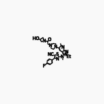 CCn1nc2nc(C)c(N3CCN(CC(=O)N4CC(O)C4)CC3)cc2c1N(C)c1nc(-c2ccc(F)cc2)c(C#N)s1